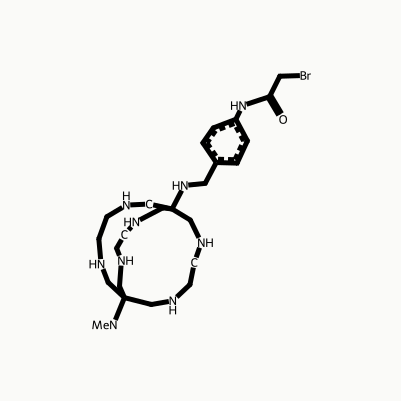 CNC12CNCCNCC(NCc3ccc(NC(=O)CBr)cc3)(CNCCNC1)CNCCNC2